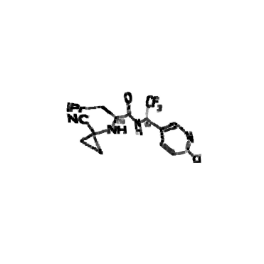 CC(C)C[C@H](NC1(C#N)CC1)C(=O)N[C@@H](c1ccc(Cl)nc1)C(F)(F)F